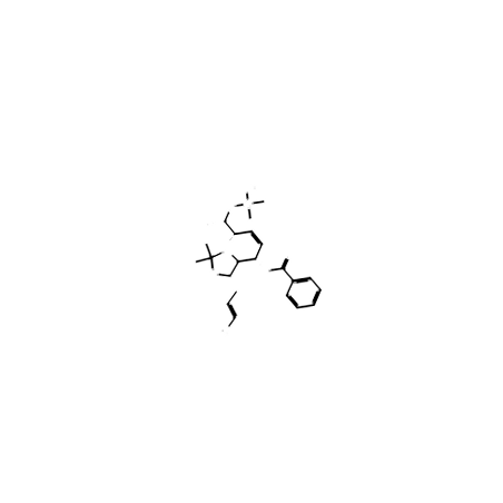 C[C@H](/C=C\[C@H](OC(=O)c1ccccc1)C1OC(C)(C)O[C@H]1C/C=C/N)[C@H](C)O[Si](C)(C)C(C)(C)C